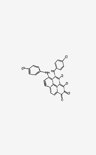 O=c1c(Cl)c2c(Cl)c(Nc3ccc(Cl)cc3)c3c(Nc4ccc(Cl)cc4)ccc4ccc(c1=O)c2c43